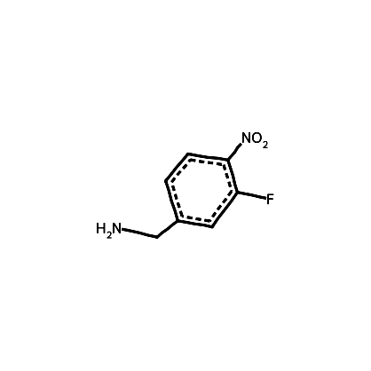 NCc1ccc([N+](=O)[O-])c(F)c1